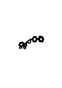 CN1CC=Cc2c(COCC3CCC(c4ccccc4)CC3)cn(C)c21